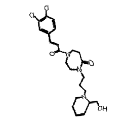 O=C(/C=C/c1ccc(Cl)c(Cl)c1)N1CCC(=O)N(CCCN2CCCCC2CO)CC1